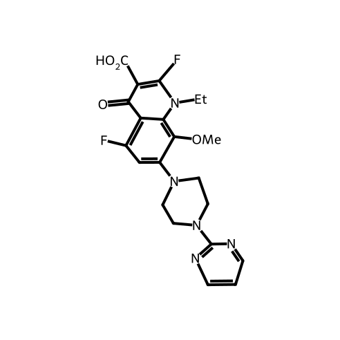 CCn1c(F)c(C(=O)O)c(=O)c2c(F)cc(N3CCN(c4ncccn4)CC3)c(OC)c21